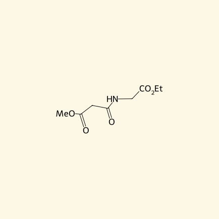 CCOC(=O)CNC(=O)CC(=O)OC